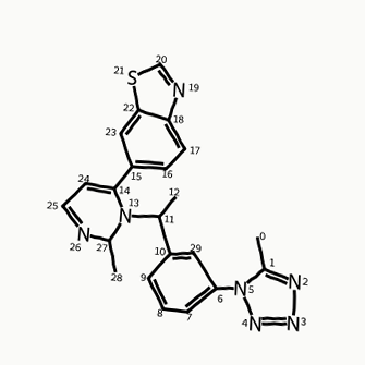 Cc1nnnn1-c1cccc(C(C)N2C(c3ccc4ncsc4c3)=CC=NC2C)c1